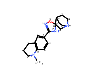 CN1CCCc2cc(C3=NO[C@]4(CN5CCC4CC5)N3)ccc21